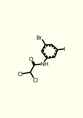 O=C(Nc1cc(Br)cc(I)c1)C(Cl)Cl